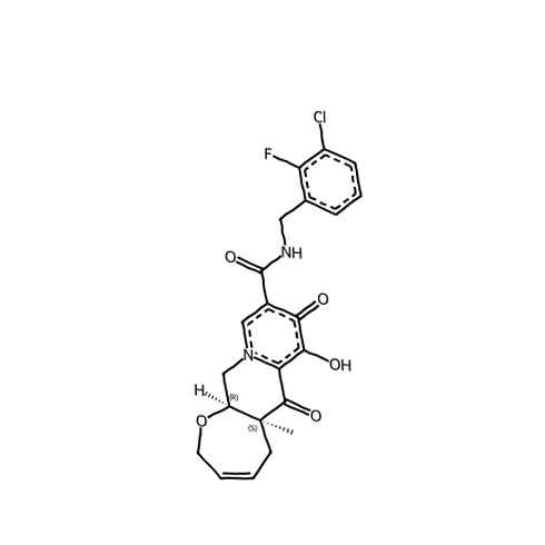 C[C@]12CC=CCO[C@H]1Cn1cc(C(=O)NCc3cccc(Cl)c3F)c(=O)c(O)c1C2=O